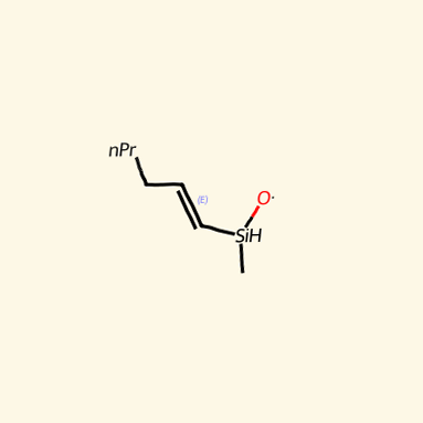 CCCC/C=C/[SiH](C)[O]